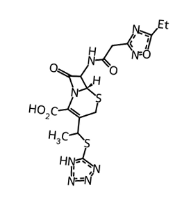 CCc1nc(CC(=O)NC2C(=O)N3C(C(=O)O)=C(C(C)Sc4nnn[nH]4)CS[C@@H]23)no1